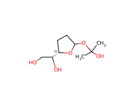 CC(C)(O)OC1CC[C@@H](C(O)CO)O1